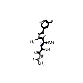 CN/C(=C\C(=N)C(=O)N[S@+](C)[O-])c1sc(C2=CC(F)=CNC2)nc1C